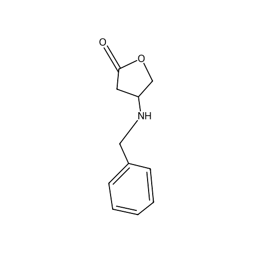 O=C1CC(NCc2ccccc2)CO1